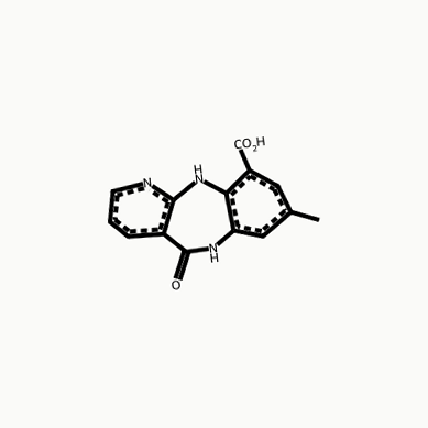 Cc1cc2c(c(C(=O)O)c1)Nc1ncccc1C(=O)N2